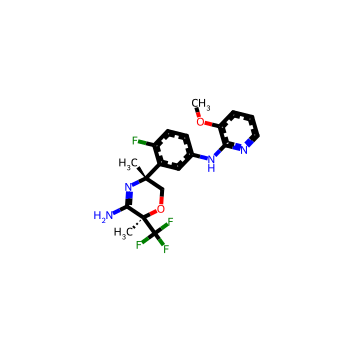 COc1cccnc1Nc1ccc(F)c([C@]2(C)CO[C@@](C)(C(F)(F)F)C(N)=N2)c1